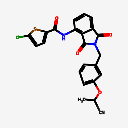 CC(C#N)Oc1cccc(CN2C(=O)c3cccc(NC(=O)c4ccc(Cl)s4)c3C2=O)c1